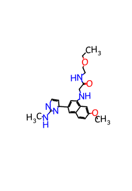 CCOCCNC(=O)CNc1cc(-c2ccnc(NC)n2)cc2ccc(OC)cc12